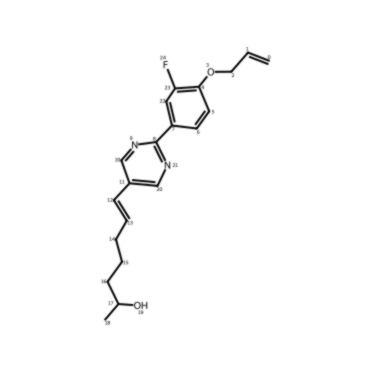 C=CCOc1ccc(-c2ncc(/C=C/CCCC(C)O)cn2)cc1F